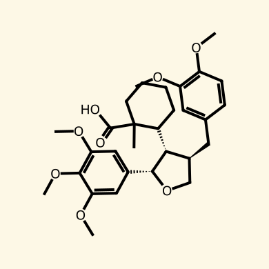 COc1ccc(C[C@H]2CO[C@H](c3cc(OC)c(OC)c(OC)c3)[C@@H]2C2CCCCC2(C)C(=O)O)cc1OC